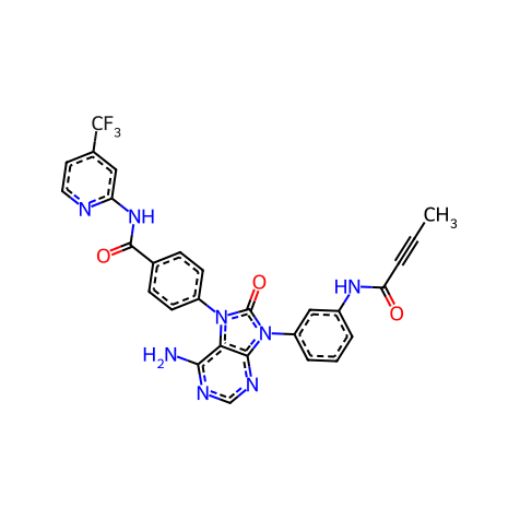 CC#CC(=O)Nc1cccc(-n2c(=O)n(-c3ccc(C(=O)Nc4cc(C(F)(F)F)ccn4)cc3)c3c(N)ncnc32)c1